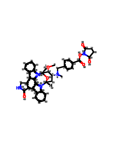 CO[C@@H]1[C@H](N(C)Cc2ccc(C(=O)ON3C(=O)CCC3=O)cc2)C[C@H]2O[C@]1(C)n1c3ccccc3c3c4c(c5c6ccccc6n2c5c31)C(=O)NC4